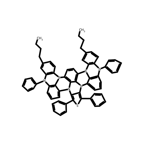 CCCCc1ccc2c(c1)B1c3ccc4c5c3N(c3cccc(c31)N2c1ccccc1)c1c(-c2ccccc2)sc(-c2ccccc2)c1N5c1cccc2c1B4c1ccc(CCCC)cc1N2c1ccccc1